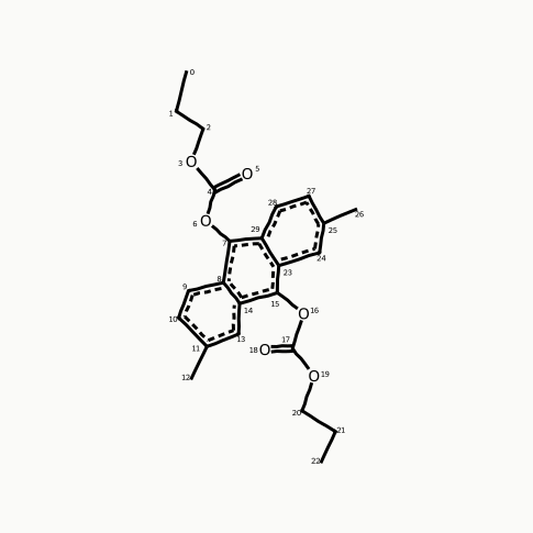 CCCOC(=O)Oc1c2ccc(C)cc2c(OC(=O)OCCC)c2cc(C)ccc12